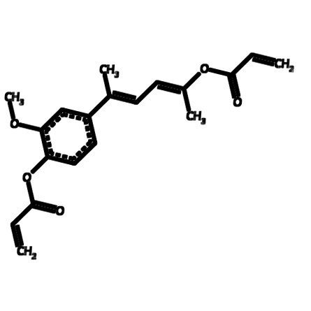 C=CC(=O)O/C(C)=C/C=C(\C)c1ccc(OC(=O)C=C)c(OC)c1